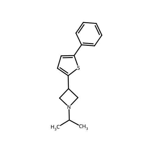 CC(C)N1CC(c2ccc(-c3ccccc3)s2)C1